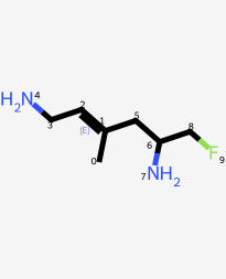 C/C(=C\CN)CC(N)CF